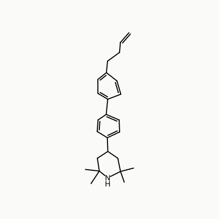 C=CCCc1ccc(-c2ccc(C3CC(C)(C)NC(C)(C)C3)cc2)cc1